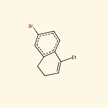 CCC1=CCCc2cc(Br)ccc21